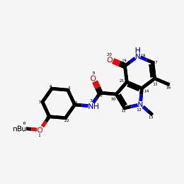 CCCCOC1CCCC(NC(=O)c2cn(C)c3c(C)c[nH]c(=O)c23)C1